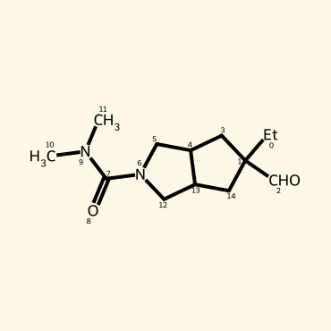 CCC1(C=O)CC2CN(C(=O)N(C)C)CC2C1